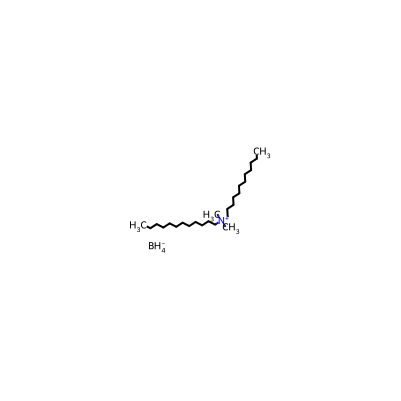 CCCCCCCCCCCC[N+](C)(C)CCCCCCCCCCCC.[BH4-]